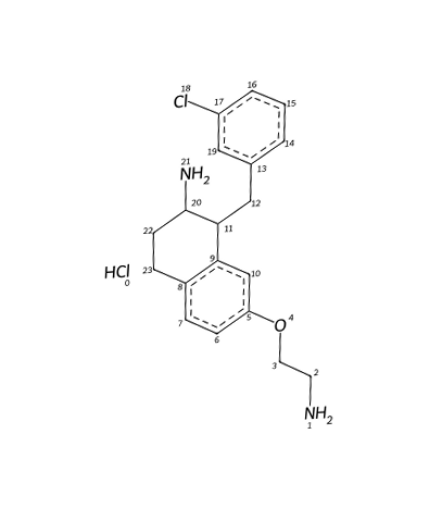 Cl.NCCOc1ccc2c(c1)C(Cc1cccc(Cl)c1)C(N)CC2